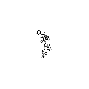 CC1=C(c2ccccc2)C2(C)C(=O)C1(C)C1(Br)C(=O)N(CCN(CCNC(=O)OC(C)(C)C)C(=O)OC(C)(C)C)C(=O)C21